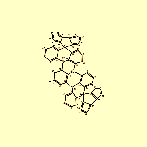 CC1=CC2=C3B(c4cccc5c4N2c2ccccc2C52C4=C(C=CCC4)c4ccccc42)c2cccc4c2N(c2ccccc2C42c4ccccc4-c4ccccc42)C3C1